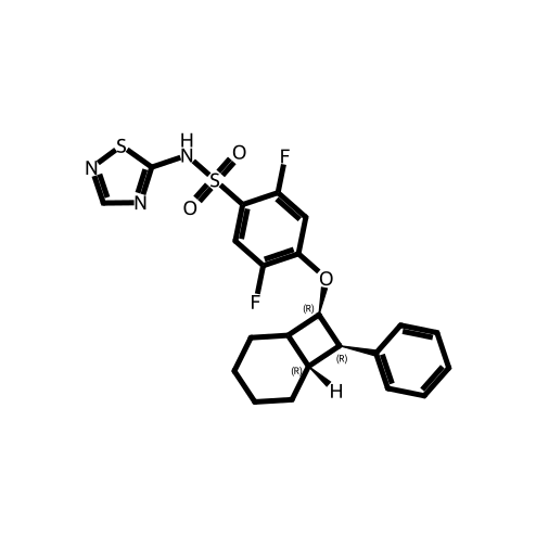 O=S(=O)(Nc1ncns1)c1cc(F)c(O[C@@H]2C3CCCC[C@H]3[C@@H]2c2ccccc2)cc1F